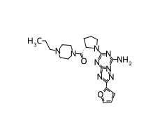 CCCN1CCN(C(=O)[C@@H]2CCCN2c2nc(N)n3nc(-c4ccco4)nc3n2)CC1